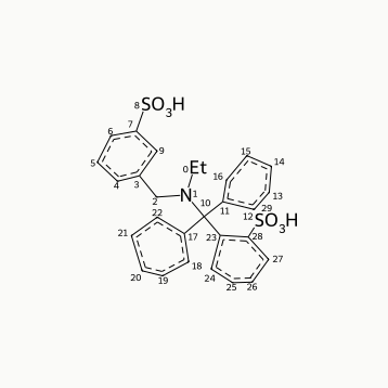 CCN(Cc1cccc(S(=O)(=O)O)c1)C(c1ccccc1)(c1ccccc1)c1ccccc1S(=O)(=O)O